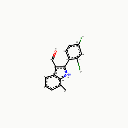 Cc1cccc2c(C=O)c(-c3ccc(F)cc3F)[nH]c12